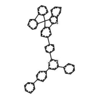 c1ccc(-c2ccc(-c3cc(-c4ccccc4)nc(-c4ccc(-c5ccc6c(c5)-c5sc7ccccc7c5C65c6ccccc6-c6ccccc65)cc4)n3)cc2)cc1